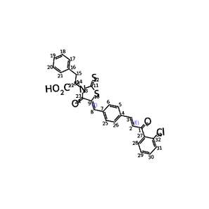 O=C(/C=C/c1ccc(/C=C2\SC(=S)N([C@@H](Cc3ccccc3)C(=O)O)C2=O)cc1)c1ccccc1Cl